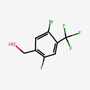 OCc1cc(Br)c(C(F)(F)F)cc1F